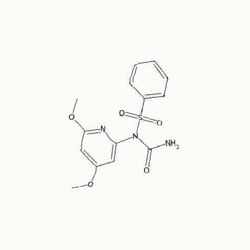 COc1cc(OC)nc(N(C(N)=O)S(=O)(=O)c2ccccc2)c1